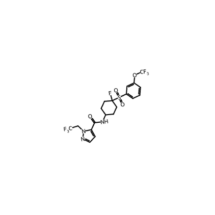 O=C(NC1CCC(F)(S(=O)(=O)c2cccc(OC(F)(F)F)c2)CC1)c1ccnn1CC(F)(F)F